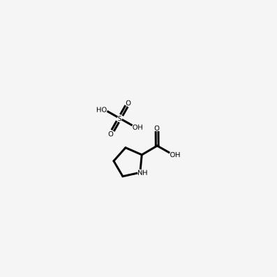 O=C(O)C1CCCN1.O=S(=O)(O)O